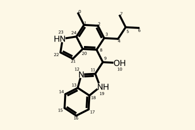 Cc1cc(CC(C)C)c(C(O)c2nc3ccccc3[nH]2)c2cc[nH]c12